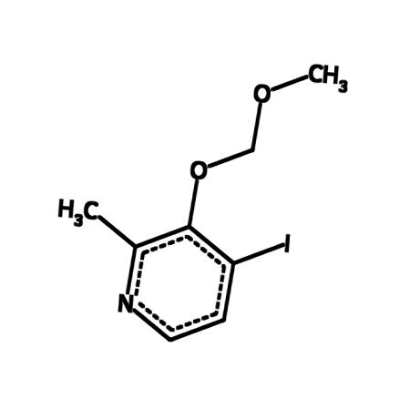 COCOc1c(I)ccnc1C